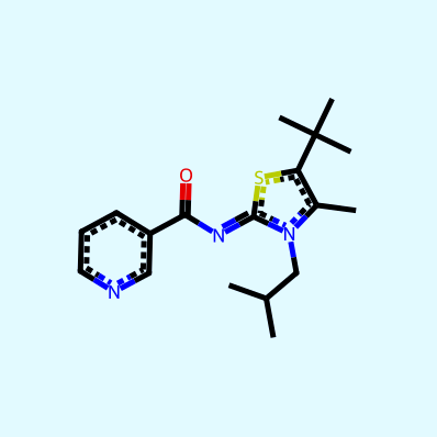 Cc1c(C(C)(C)C)s/c(=N\C(=O)c2cccnc2)n1CC(C)C